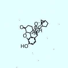 O=C1CCC2(OCC3CCCC3)[C@H]3Cc4ccc(O)c5c4[C@@]2(CC[N+]3([O-])CC2CC2)C1O5